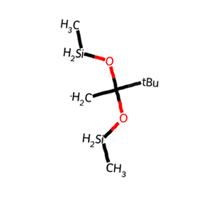 [CH2]C(O[SiH2]C)(O[SiH2]C)C(C)(C)C